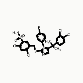 CC(C)(c1ccc(Cl)c(Cl)c1)c1cnc(SCc2cc(S(N)(=O)=O)c(Cl)cc2Cl)n1-c1ccc(F)cc1